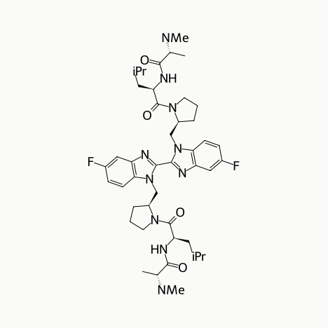 CN[C@H](C)C(=O)N[C@H](CC(C)C)C(=O)N1CCC[C@H]1Cn1c(-c2nc3cc(F)ccc3n2C[C@@H]2CCCN2C(=O)[C@@H](CC(C)C)NC(=O)[C@@H](C)NC)nc2cc(F)ccc21